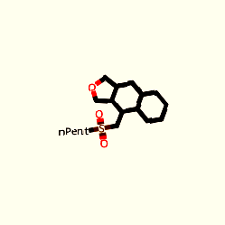 CCCCCS(=O)(=O)CC1C2CCCCC2CC2COCC21